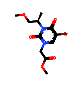 COC[C@@H](C)n1c(=O)c(Br)cn(CC(=O)OC)c1=O